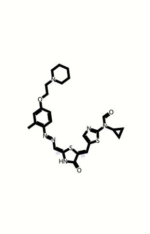 Cc1cc(OCCN2CCCCC2)ccc1N=N/C=c1/[nH]c(=O)/c(=C/c2cnc(N(C=O)C3CC3)s2)s1